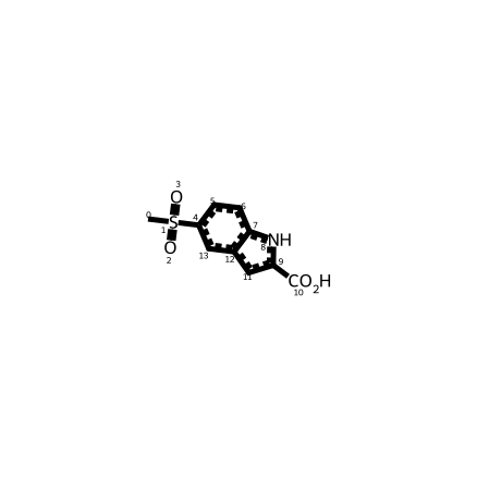 CS(=O)(=O)c1ccc2[nH]c(C(=O)O)cc2c1